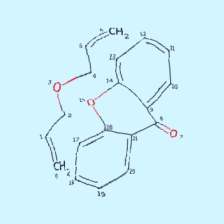 C=CCOCC=C.O=c1c2ccccc2oc2ccccc12